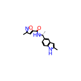 Cc1cc(C(=O)N[C@H](C)c2ccc3[nH]c(C)cc3c2)on1